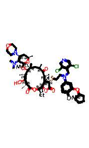 CC[C@H]1OC(=O)[C@H](C)[C@@H](O)[C@H](C)[C@@H](O[C@@H]2O[C@H](C)C[C@@H](N3CCOCC3)[C@@H]2N(C)C)[C@](C)(OC)C[C@@H](C)C(=O)[C@H](C)[C@H]2[C@H](SCCN(Cc3c(Cl)cncc3Cl)c3ccc(OC)c(OC4CCCC4)c3)C(=O)O[C@@]21C